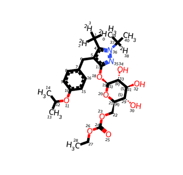 [2H]C([2H])([2H])c1c(Cc2ccc(OC(C)C)cc2)c(O[C@@H]2O[C@H](COC(=O)OCC)[C@@H](O)[C@H](O)[C@H]2O)nn1C([2H])(C)C